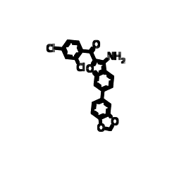 Nc1c(C(=O)c2ccc(Cl)cc2Cl)oc2cc(-c3ccc4c(c3)OCO4)ccc12